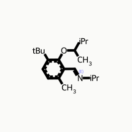 Cc1ccc(C(C)(C)C)c(OC(C)C(C)C)c1/C=N/C(C)C